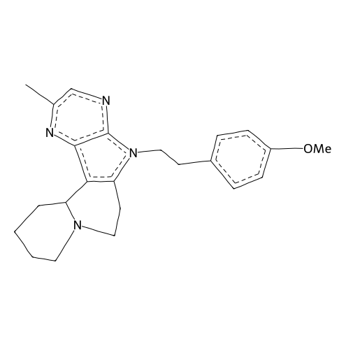 COc1ccc(CCn2c3c(c4nc(C)cnc42)C2CCCCN2CC3)cc1